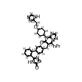 CCCc1c(Cc2ccc(-c3ccccc3-c3noc(=O)[nH]3)cc2)c(=O)n(C2CCC(OCc3nnc[nH]3)CC2)c2ncnn12